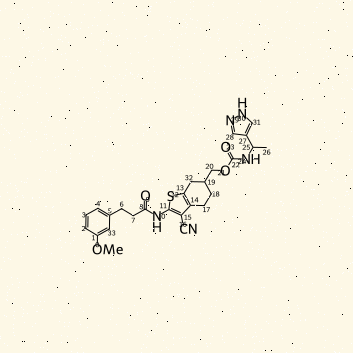 COc1cccc(CCC(=O)Nc2sc3c(c2C#N)CCC(COC(=O)NC(C)c2cn[nH]c2)C3)c1